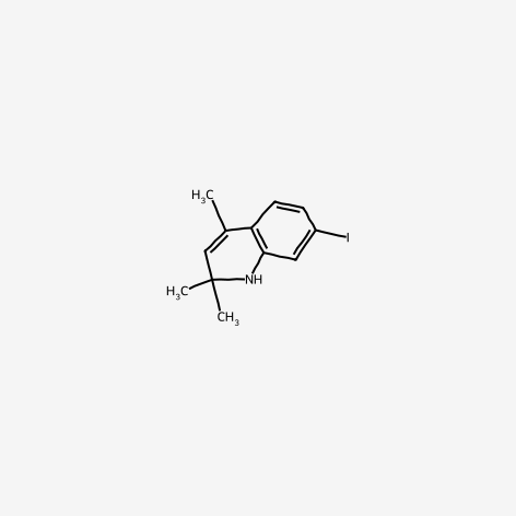 CC1=CC(C)(C)Nc2cc(I)ccc21